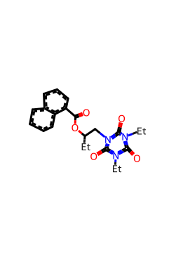 CCC(Cn1c(=O)n(CC)c(=O)n(CC)c1=O)OC(=O)c1cccc2ccccc12